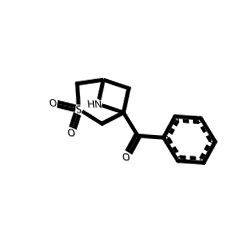 O=C(c1ccccc1)C12CC(CS(=O)(=O)C1)N2